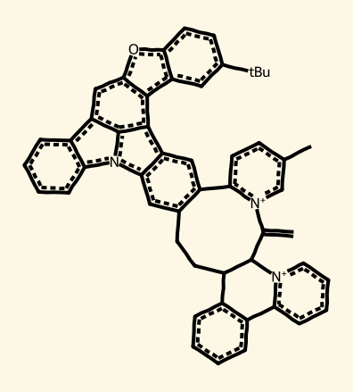 C=C1C2C(CCc3cc4c(cc3-c3ccc(C)c[n+]31)c1c3c(cc5c6ccccc6n4c51)oc1ccc(C(C)(C)C)cc13)c1ccccc1-c1cccc[n+]12